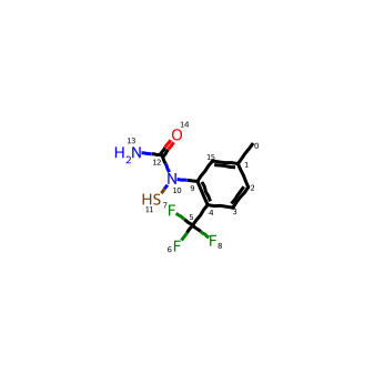 Cc1ccc(C(F)(F)F)c(N(S)C(N)=O)c1